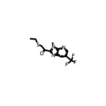 CCSCC(=O)c1nc2cc(C(F)(F)F)cnc2n1C